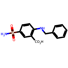 NS(=O)(=O)c1ccc(NCc2ccccc2)c(C(=O)O)c1